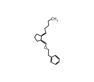 CCCCC=C1CCCC1=COCCc1ccccc1